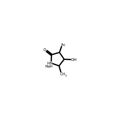 CC(=O)C1C(=O)NC(C)C1O.[NaH]